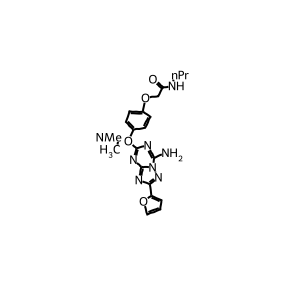 CCCNC(=O)COc1ccc(Oc2nc(N)n3nc(-c4ccco4)nc3n2)cc1.CNC